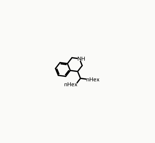 CCCCCCC(CCCCCC)C1CNCc2ccccc21